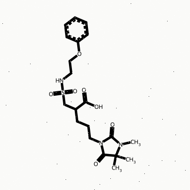 CN1C(=O)N(CCCC(CS(=O)(=O)NCCOc2ccccc2)C(=O)O)C(=O)C1(C)C